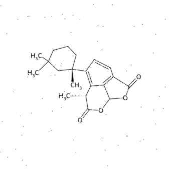 C[C@H]1C(=O)OC2OC(=O)c3ccc([C@@]4(C)CCCC(C)(C)C4)c1c32